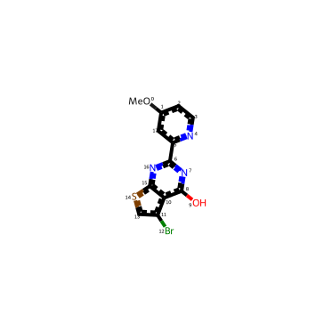 COc1ccnc(-c2nc(O)c3c(Br)csc3n2)c1